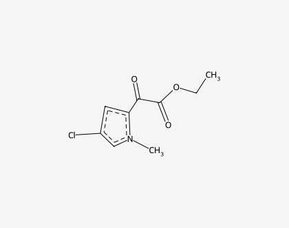 CCOC(=O)C(=O)c1cc(Cl)cn1C